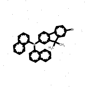 CC1(C)c2cc(Br)ccc2-c2ccc(N(c3cccc4ccccc34)c3cccc4ccccc34)cc21